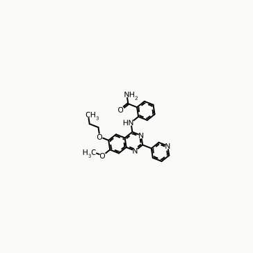 CCCOc1cc2c(Nc3ccccc3C(N)=O)nc(-c3cccnc3)nc2cc1OC